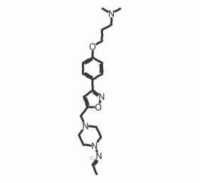 C/C=N/N1CCN(Cc2cc(-c3ccc(OCCCN(C)C)cc3)no2)CC1